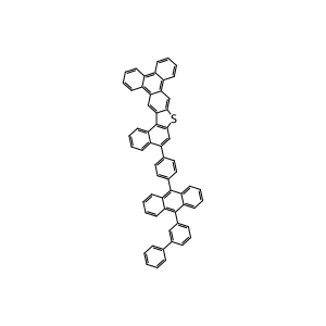 c1ccc(-c2cccc(-c3c4ccccc4c(-c4ccc(-c5cc6sc7cc8c9ccccc9c9ccccc9c8cc7c6c6ccccc56)cc4)c4ccccc34)c2)cc1